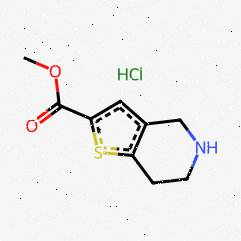 COC(=O)c1cc2c(s1)CCNC2.Cl